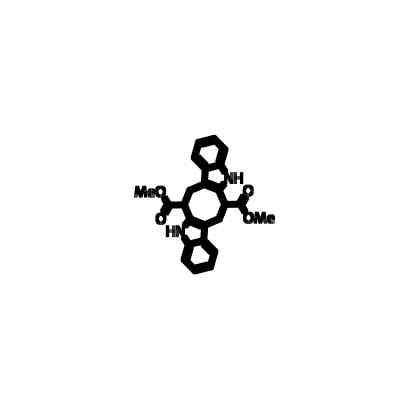 COC(=O)C1Cc2c([nH]c3ccccc23)C(C(=O)OC)Cc2c1[nH]c1ccccc21